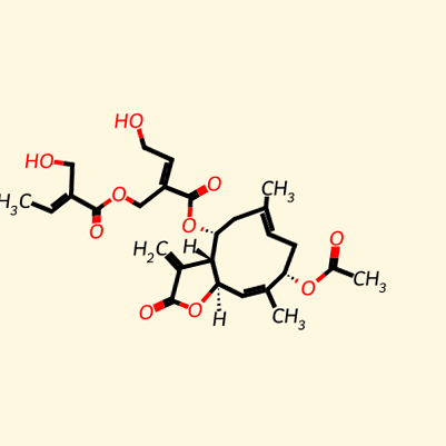 C=C1C(=O)O[C@@H]2/C=C(/C)[C@@H](OC(C)=O)C/C=C(\C)C[C@@H](OC(=O)/C(=C/CO)COC(=O)/C(=C/C)CO)[C@@H]12